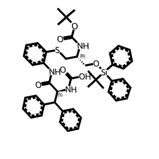 CC(C)(C)OC(=O)N[C@H](CO[Si](c1ccccc1)(c1ccccc1)C(C)(C)C)CSc1ccccc1NC(=O)[C@@H](NC(=O)O)C(c1ccccc1)c1ccccc1